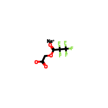 O=C([O-])COC(=O)C(F)(F)C(F)(F)F.[Na+]